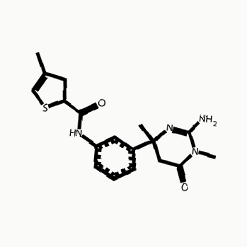 CC1=CSC(C(=O)Nc2cccc(C3(C)CC(=O)N(C)C(N)=N3)c2)C1